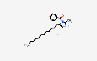 CCCCCCCCCCCCc1c[nH]c(C)[n+]1C(=O)c1ccccc1.[Cl-]